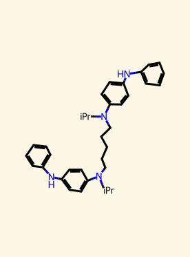 CC(C)N(CCCCCN(c1ccc(Nc2ccccc2)cc1)C(C)C)c1ccc(Nc2ccccc2)cc1